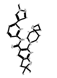 Cn1cc(-c2cccc(NC(=O)c3cc4c(nc3N3CCC5(CCO5)CC3)OC(C)(C)C4)n2)cn1